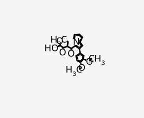 CCC(C(=O)C(=O)O)C(=O)c1c(-c2ccc(OC)c(OC)c2)cc2ccccn12